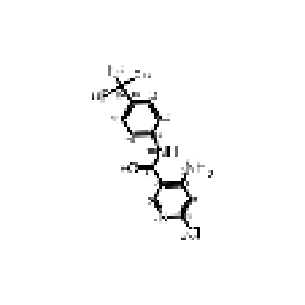 Nc1cc(Cl)ncc1C(=O)Nc1ccc(C(F)(F)F)cc1